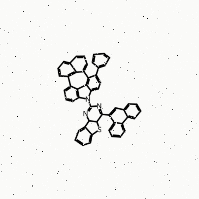 c1ccc(-c2ccc3c4c2-c2cccc5cccc(c25)-c2cccc(c24)n3C2=NC3c4ccccc4SC3C(c3cc4ccccc4c4ccccc34)=N2)cc1